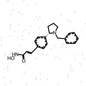 O=C(C=Cc1ccc([C@@H]2CCCN2Cc2ccccc2)cc1)NO